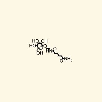 NC(=O)CCCCC(=O)NCCO[C@H]1O[C@H](CO)[C@@H](O)[C@H](O)[C@@H]1O